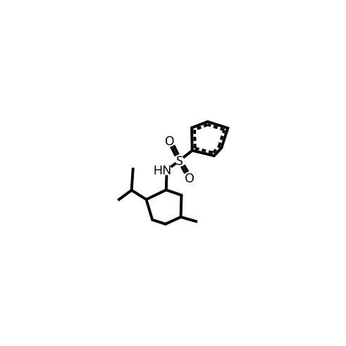 CC1CCC(C(C)C)C(NS(=O)(=O)c2ccccc2)C1